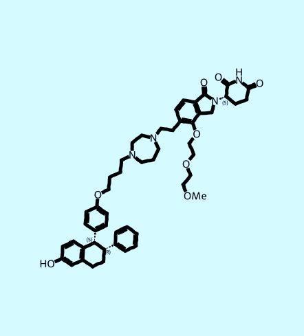 COCCOCCOc1c(CCN2CCCN(CCCCOc3ccc([C@H]4c5ccc(O)cc5CC[C@H]4c4ccccc4)cc3)CC2)ccc2c1CN([C@H]1CCC(=O)NC1=O)C2=O